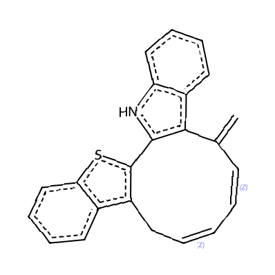 C=C1/C=C\C=C/Cc2c(sc3ccccc23)-c2[nH]c3ccccc3c21